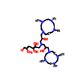 CCCN1CCN(CC)CCCN(CC(O)CN(CC(O)CN2CCN(CCC)CCN(CCC)CCN(CCC)CC2)CC(O)C(O)CC(O)CO)CCN(CCC)CC1